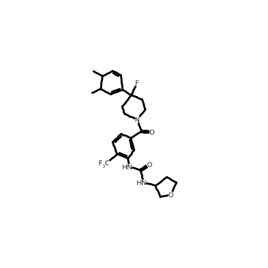 CC1C=CC(C2(F)CCN(C(=O)c3ccc(C(F)(F)F)c(NC(=O)NC4CCOC4)c3)CC2)=CC1C